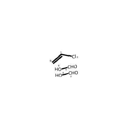 C=CCl.O=CO.O=CO